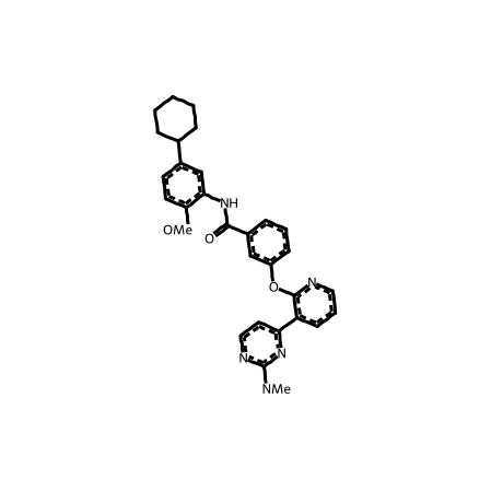 CNc1nccc(-c2cccnc2Oc2cccc(C(=O)Nc3cc(C4CCCCC4)ccc3OC)c2)n1